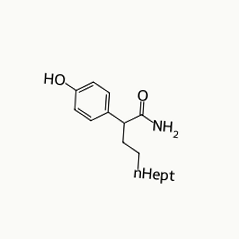 CCCCCCCCCC(C(N)=O)c1ccc(O)cc1